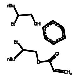 C=CC(=O)OCC(CC)CCCC.CCCCC(CC)CO.c1ccccc1